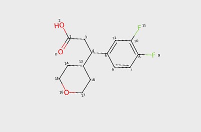 O=C(O)CC(c1ccc(F)c(F)c1)C1CCOCC1